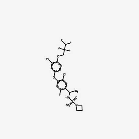 N=S(=O)(NC(O)c1cc(Cl)c(Oc2cnc(OCC(F)(F)C(F)F)c(Cl)c2)cc1F)N1CCC1